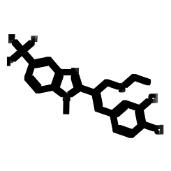 CCSC/C(=C\c1ccc(Cl)c(Cl)c1)c1nc2cc(C(F)(F)F)ccc2n1C